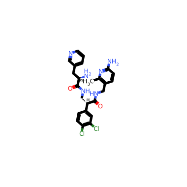 Cc1nc(N)ccc1CNC(=O)[C@@H](CNC(=O)[C@H](N)Cc1cccnc1)c1ccc(Cl)c(Cl)c1